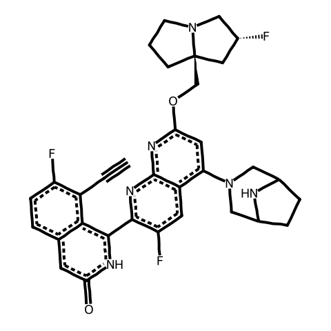 C#Cc1c(F)ccc2cc(=O)[nH]c(-c3nc4nc(OC[C@@]56CCCN5C[C@H](F)C6)cc(N5CC6CCC(C5)N6)c4cc3F)c12